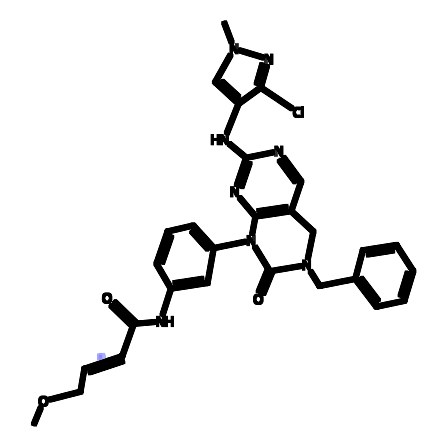 COC/C=C/C(=O)Nc1cccc(N2C(=O)N(Cc3ccccc3)Cc3cnc(Nc4cn(C)nc4Cl)nc32)c1